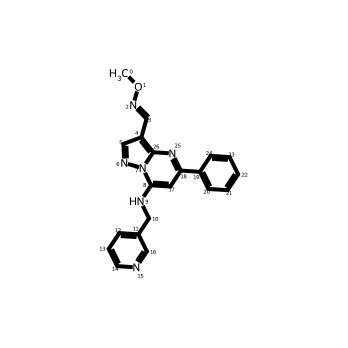 CO/N=C/c1cnn2c(NCc3cccnc3)cc(-c3ccccc3)nc12